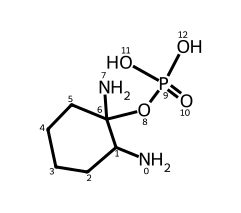 NC1CCCCC1(N)OP(=O)(O)O